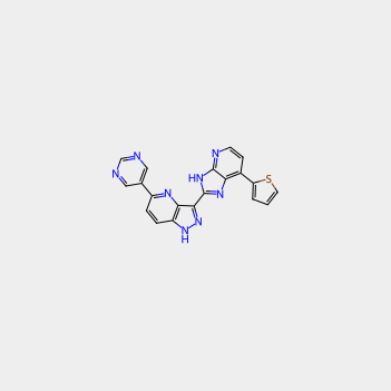 c1csc(-c2ccnc3[nH]c(-c4n[nH]c5ccc(-c6cncnc6)nc45)nc23)c1